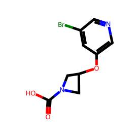 O=C(O)N1CC(Oc2cncc(Br)c2)C1